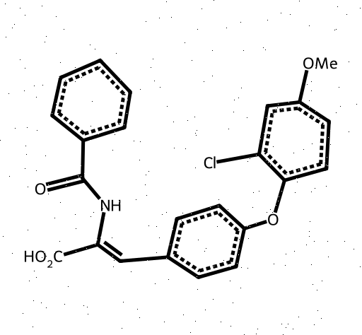 COc1ccc(Oc2ccc(C=C(NC(=O)c3ccccc3)C(=O)O)cc2)c(Cl)c1